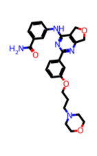 NC(=O)c1cccc(Nc2nc(-c3cccc(OCCCN4CCOCC4)c3)nc3c2COC3)c1